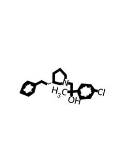 CC(O)(CN1CCC[C@@H](CCc2ccccc2)C1)c1ccc(Cl)cc1